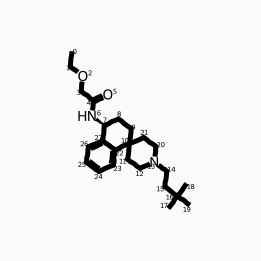 CCOCC(=O)N[C@H]1CCC2(CCN(CCC(C)(C)C)CC2)c2ccccc21